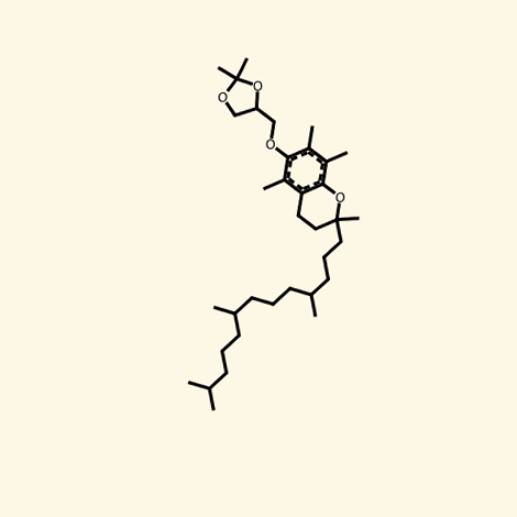 Cc1c(C)c2c(c(C)c1OCC1COC(C)(C)O1)CCC(C)(CCCC(C)CCCC(C)CCCC(C)C)O2